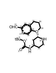 CC(C)(C)OC(=O)NC1CCNCC1.O=Cc1cc2c(cn1)OCCC2